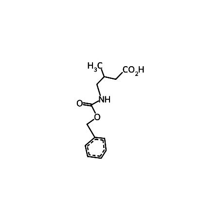 CC(CNC(=O)OCc1ccccc1)CC(=O)O